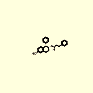 Oc1ccc2c(c1)CC[C@@H](CNCCc1ccccc1)[C@H]2c1ccccc1